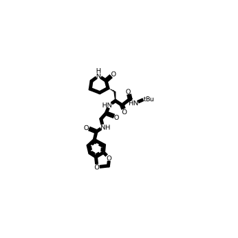 CC(C)(C)NC(=O)C(=O)[C@H](C[C@@H]1CCCNC1=O)NC(=O)CNC(=O)c1ccc2c(c1)OCO2